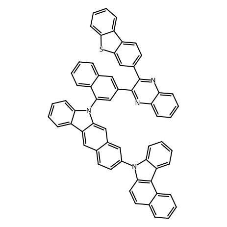 c1ccc2c(-n3c4ccccc4c4cc5ccc(-n6c7ccccc7c7c8ccccc8ccc76)cc5cc43)cc(-c3nc4ccccc4nc3-c3ccc4c(c3)sc3ccccc34)cc2c1